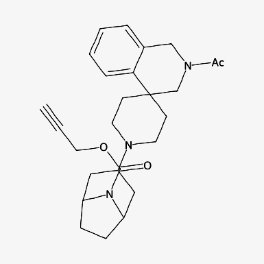 C#CCOC(=O)N1C2CCC1CC(N1CCC3(CC1)CN(C(C)=O)Cc1ccccc13)C2